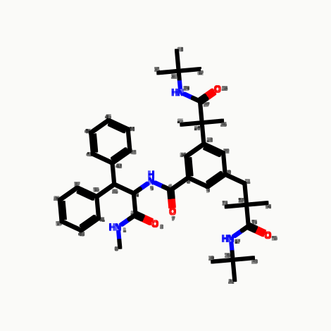 CNC(=O)C(NC(=O)c1cc(CC(C)(C)C(=O)NC(C)(C)C)cc(C(C)(C)C(=O)NC(C)(C)C)c1)C(c1ccccc1)c1ccccc1